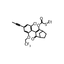 CC#Cc1cc(Cl)c(C2=C(OC(=O)SCC)C3CCC(C3)C2=O)c(OCC(F)(F)F)c1